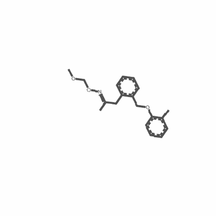 COCON=C(C)Cc1ccccc1COc1ccccc1C